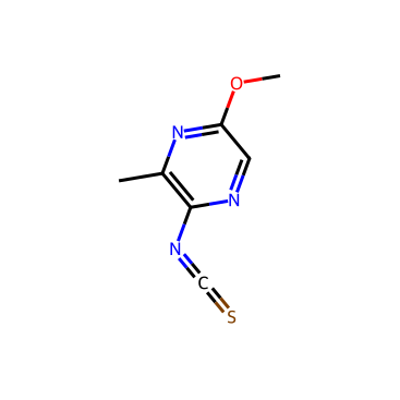 COc1cnc(N=C=S)c(C)n1